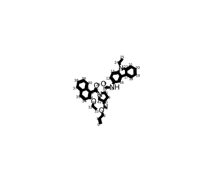 C=CCON=C1C[C@@H](C(=O)Nc2ccc3c(c2)c2ccccc2n3CC)N(C(=O)c2c(OCC)ccc3ccccc23)C1